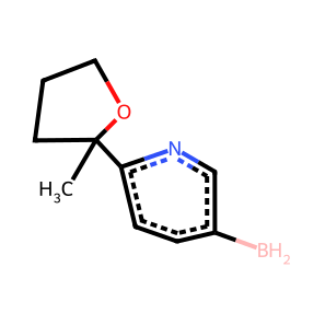 Bc1ccc(C2(C)CCCO2)nc1